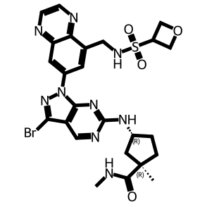 CNC(=O)[C@]1(C)CC[C@@H](Nc2ncc3c(Br)nn(-c4cc(CNS(=O)(=O)C5COC5)c5nccnc5c4)c3n2)C1